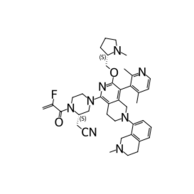 C=C(F)C(=O)N1CCN(c2nc(OC[C@@H]3CCCN3C)c(-c3c(C)ccnc3C)c3c2CCN(c2cccc4c2CN(C)CC4)C3)C[C@@H]1CC#N